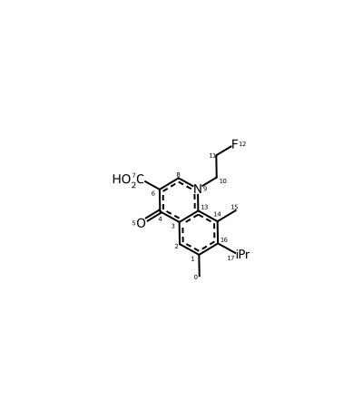 Cc1cc2c(=O)c(C(=O)O)cn(CCF)c2c(C)c1C(C)C